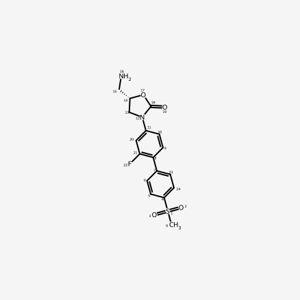 CS(=O)(=O)c1ccc(-c2ccc(N3C[C@H](CN)OC3=O)cc2F)cc1